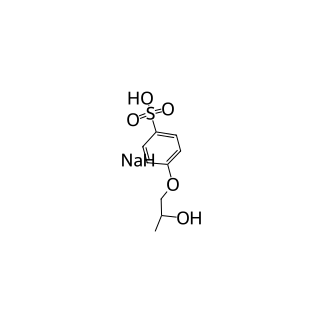 CC(O)COc1ccc(S(=O)(=O)O)cc1.[NaH]